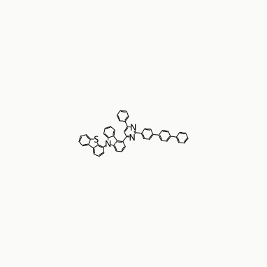 c1ccc(-c2ccc(-c3ccc(-c4nc(-c5ccccc5)cc(-c5cccc6c5c5ccccc5n6-c5cccc6c5sc5ccccc56)n4)cc3)cc2)cc1